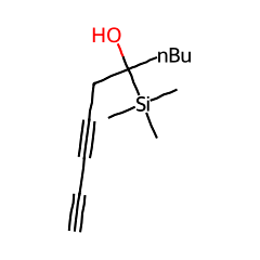 C#CC#CCC(O)(CCCC)[Si](C)(C)C